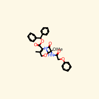 CO[C@]1(NC(=O)COc2ccccc2)C(=O)N2C(C(=O)OC(c3ccccc3)c3ccccc3)=C(C)COC21